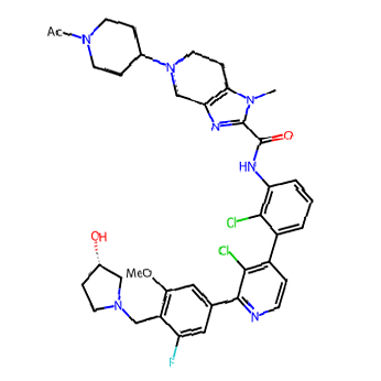 COc1cc(-c2nccc(-c3cccc(NC(=O)c4nc5c(n4C)CCN(C4CCN(C(C)=O)CC4)C5)c3Cl)c2Cl)cc(F)c1CN1CC[C@H](O)C1